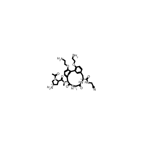 CC(=O)N1C[C@@H](N)CC1C(=O)N(C)[C@@H]1C(=O)N[C@@H](C)C(=O)N[C@H](C(=O)NCC#N)Cc2ccc(OCCN)c(c2)-c2cc1ccc2OCCN